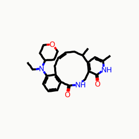 CCN(c1cccc2c1CC=CCC(C)c1cc(C)[nH]c(=O)c1CNC2=O)C1CCOCC1